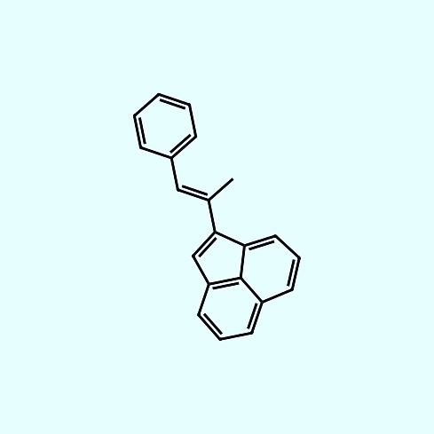 CC(=Cc1ccccc1)C1=Cc2cccc3cccc1c23